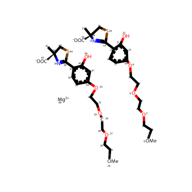 COCCOCCOCCOc1ccc(C2=N[C@@](C)(C(=O)[O-])CS2)c(O)c1.COCCOCCOCCOc1ccc(C2=N[C@@](C)(C(=O)[O-])CS2)c(O)c1.[Mg+2]